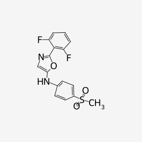 CS(=O)(=O)c1ccc(Nc2cnc(-c3c(F)cccc3F)o2)cc1